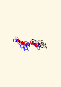 CCc1cc(N2C(=S)N(c3ccc(C#N)c(C(F)(F)F)c3)C(=O)C2(C)C)ccc1OCC[C@H]1CCN(CC(=O)Nc2cccc(NC3CCC(=O)NC3O)c2)[C@H](C)C1